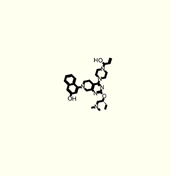 C=CC(O)N1CCN(c2nc(O[C@H](CC)CN(C)C)nc3c2CCN(c2cc(O)cc4ccccc24)C3)CC1